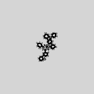 c1ccc(-c2nc(-c3ccc4sc5ccccc5c4c3)nc(-n3c4ccccc4c4cc5c(cc43)c3ccccc3n5-c3ccccc3)n2)cc1